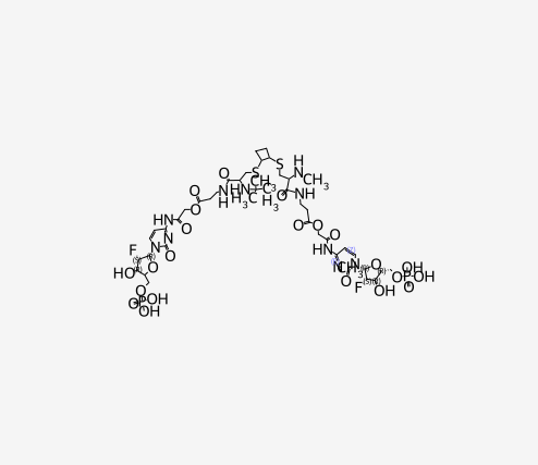 C/N=C(\C=C/N(C=O)[C@@H]1O[C@H](COP(=O)(O)O)[C@@H](O)[C@@H]1F)NC(=O)COC(=O)CCNC(=O)C(CSC1CCC1SCC(NC(C)(C)C)C(=O)NCCC(=O)OCC(=O)Nc1ccn([C@@H]2OC(COP(=O)(O)O)[C@@H](O)[C@@H]2F)c(=O)n1)NC